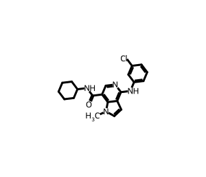 Cn1ccc2c(Nc3cccc(Cl)c3)ncc(C(=O)NC3CCCCC3)c21